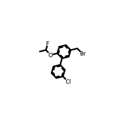 CC(F)Oc1ccc(CBr)cc1-c1cccc(Cl)c1